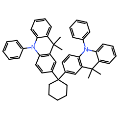 CC1(C)c2ccccc2N(c2ccccc2)c2ccc(C3(c4ccc5c(c4)C(C)(C)c4ccccc4N5c4ccccc4)CCCCC3)cc21